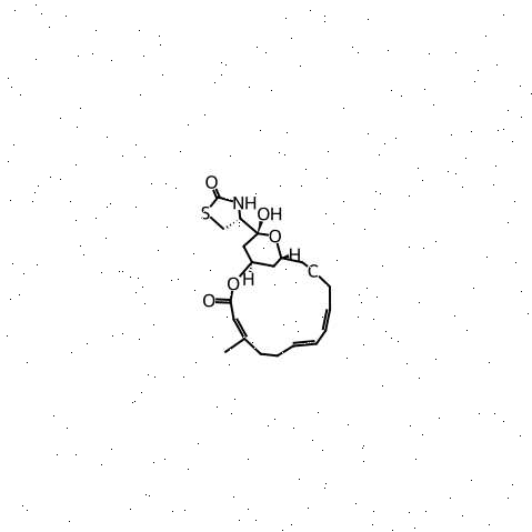 C/C1=C/C(=O)O[C@@H]2C[C@@H](CCC/C=C\C=C\CC1)O[C@@](O)([C@@H]1CSC(=O)N1)C2